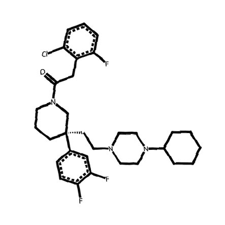 O=C(Cc1c(F)cccc1Cl)N1CCC[C@](CCN2CCN(C3CCCCC3)CC2)(c2ccc(F)c(F)c2)C1